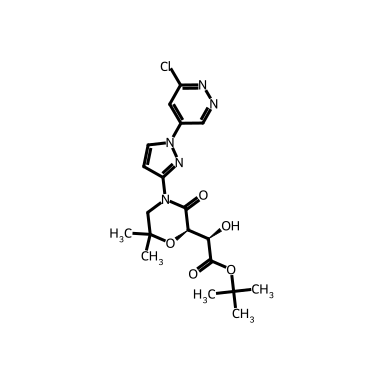 CC(C)(C)OC(=O)[C@H](O)[C@H]1OC(C)(C)CN(c2ccn(-c3cnnc(Cl)c3)n2)C1=O